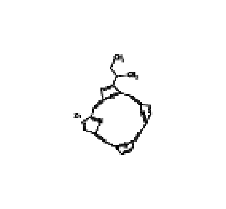 CCC(C)C1=CC2=CC3=NC(=CC4=NC(=CC5=NC(=CC1=N2)C=C5)C=C4)C=C3.[Zn]